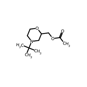 CC(=O)OCC1CN(C(C)(C)C)CCO1